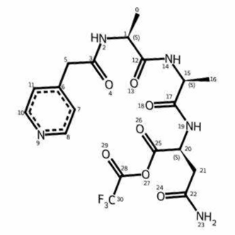 C[C@H](NC(=O)Cc1ccncc1)C(=O)N[C@@H](C)C(=O)N[C@@H](CC(N)=O)C(=O)OC(=O)C(F)(F)F